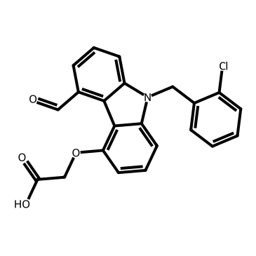 O=Cc1cccc2c1c1c(OCC(=O)O)cccc1n2Cc1ccccc1Cl